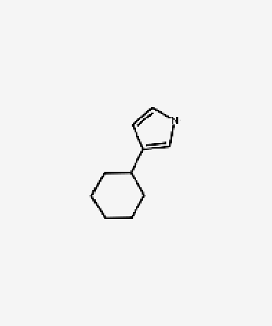 C1=CC(C2CCCCC2)=C[N]1